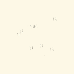 CC[C@@H]1CN(c2cc3c(N[C@H](C)c4cccc(C#N)c4C)nnc(C)c3cn2)CCN1C